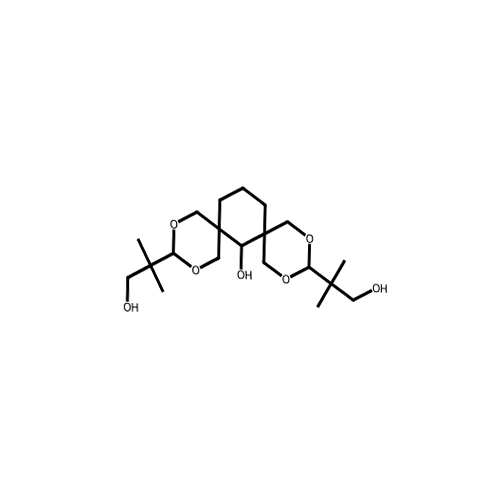 CC(C)(CO)C1OCC2(CCCC3(COC(C(C)(C)CO)OC3)C2O)CO1